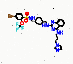 O=S(=O)(NC[C@H]1CC[C@H](CNc2nc(NCCCn3ccnc3)c3ccccc3n2)CC1)c1ccc(Br)cc1OC(F)(F)F